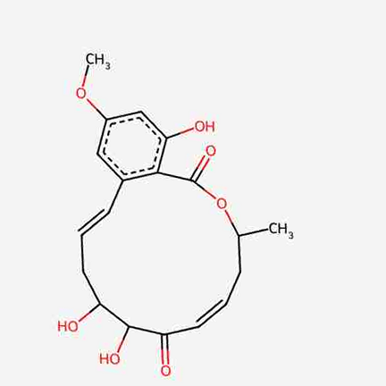 COc1cc(O)c2c(c1)/C=C/CC(O)C(O)C(=O)/C=C\CC(C)OC2=O